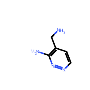 NCc1ccnnc1N